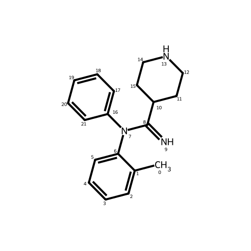 Cc1ccccc1N(C(=N)C1CCNCC1)c1ccccc1